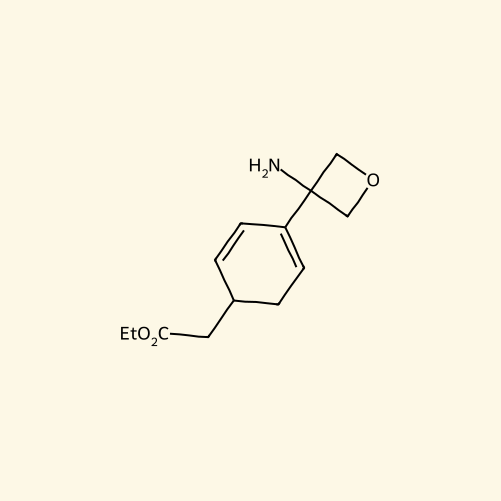 CCOC(=O)CC1C=CC(C2(N)COC2)=CC1